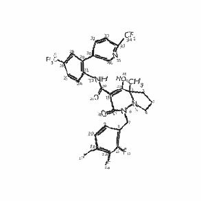 CC12CCCN1N(Cc1ccc(I)c(F)c1F)C(=O)C(C(=O)Nc1ccc(C(F)(F)F)cc1-c1ccc(C(F)(F)F)nc1)=C2O